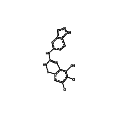 Oc1c(Cl)c(Cl)cc2c1N=C(Nc1ccc3[nH]ncc3c1)NS2